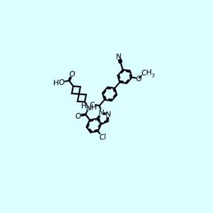 COc1cc(C#N)cc(-c2ccc(C(C)n3ncc4c(Cl)ccc(C(=O)NC5CC6(C5)CC(C(=O)O)C6)c43)cc2)c1